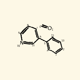 C=O.c1ccc(-c2cccnc2)cc1